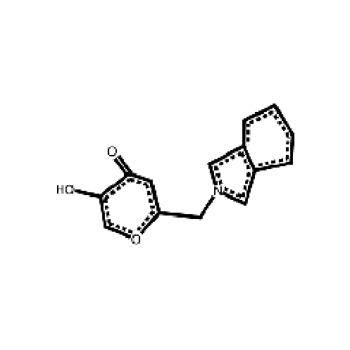 O=c1cc(Cn2cc3ccccc3c2)occ1O